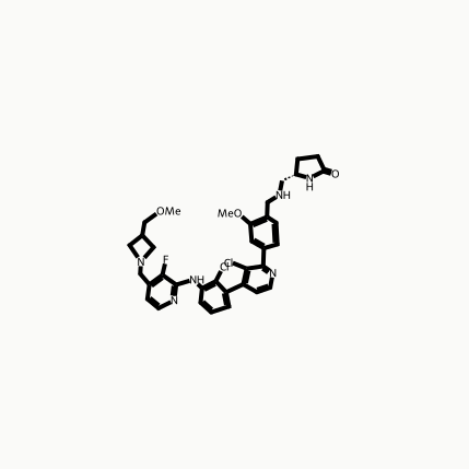 COCC1CN(Cc2ccnc(Nc3cccc(-c4ccnc(-c5ccc(CNC[C@@H]6CCC(=O)N6)c(OC)c5)c4Cl)c3Cl)c2F)C1